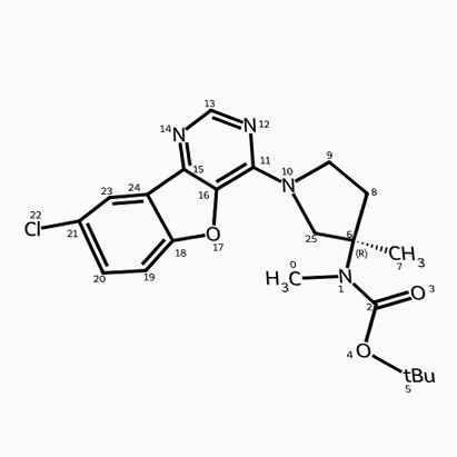 CN(C(=O)OC(C)(C)C)[C@]1(C)CCN(c2ncnc3c2oc2ccc(Cl)cc23)C1